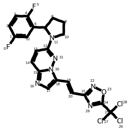 Fc1ccc(F)c(C2CCCN2c2ccc3ncc(C=Cc4noc(C(Cl)(Cl)Cl)n4)n3n2)c1